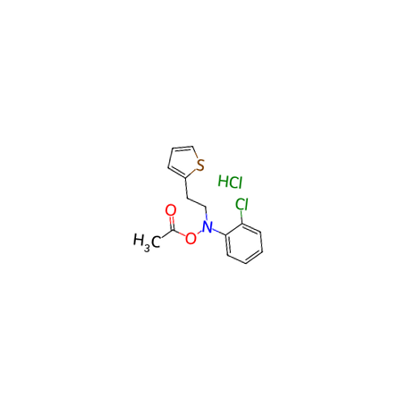 CC(=O)ON(CCc1cccs1)c1ccccc1Cl.Cl